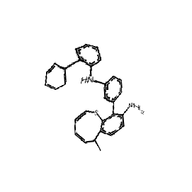 CC1/C=C\C=C/Sc2c1ccc(N)c2-c1cccc(Nc2ccccc2C2C=CC=CC2)c1